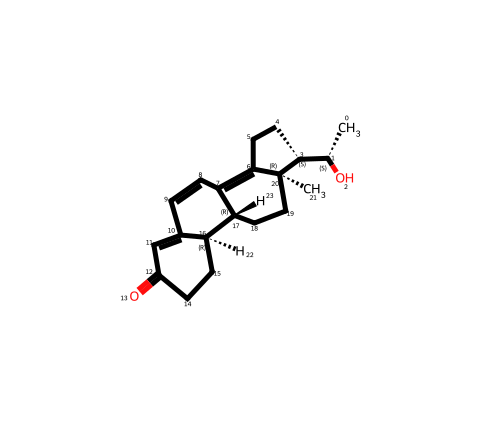 C[C@H](O)[C@H]1CCC2=C3C=CC4=CC(=O)CC[C@@H]4[C@H]3CC[C@@]21C